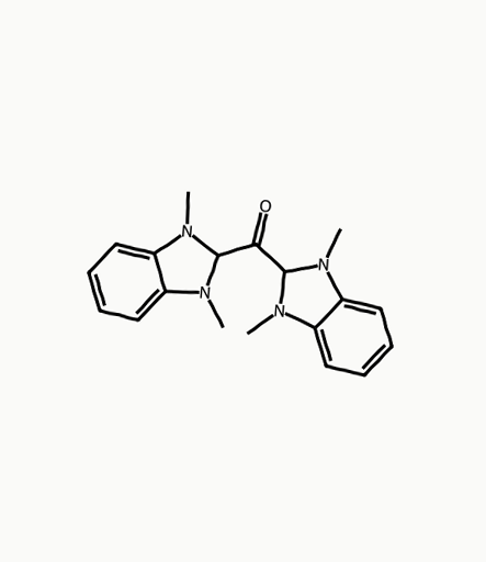 CN1c2ccccc2N(C)C1C(=O)C1N(C)c2ccccc2N1C